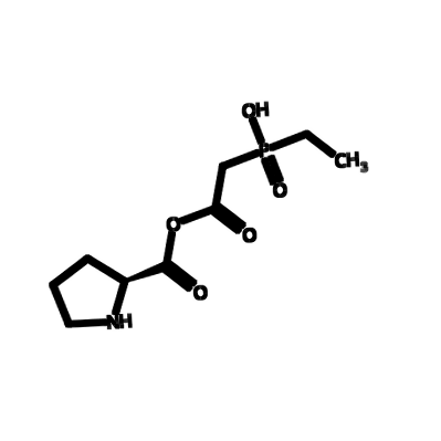 CCP(=O)(O)CC(=O)OC(=O)[C@@H]1CCCN1